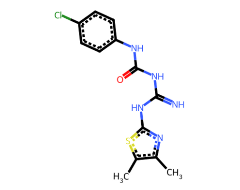 Cc1nc(NC(=N)NC(=O)Nc2ccc(Cl)cc2)sc1C